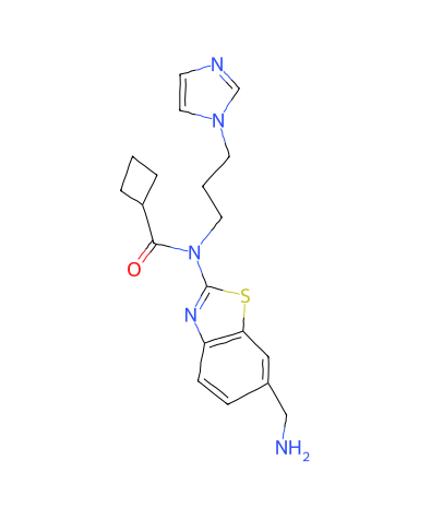 NCc1ccc2nc(N(CCCn3ccnc3)C(=O)C3CCC3)sc2c1